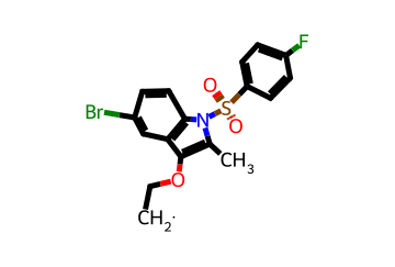 [CH2]COc1c(C)n(S(=O)(=O)c2ccc(F)cc2)c2ccc(Br)cc12